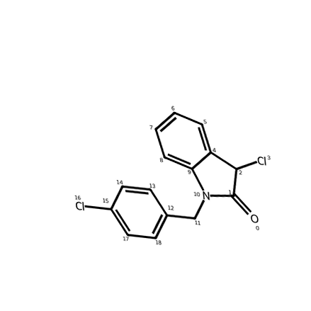 O=C1C(Cl)c2ccccc2N1Cc1ccc(Cl)cc1